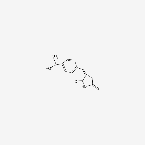 CC(O)c1ccc(C=C2SC(=O)NC2=O)cc1